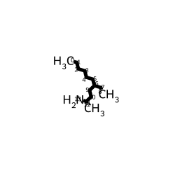 CCCCCCC(CC)CCC(C)N